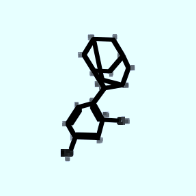 Oc1ccc(C2C3CC4CC(C3)CC2C4)c(Cl)c1